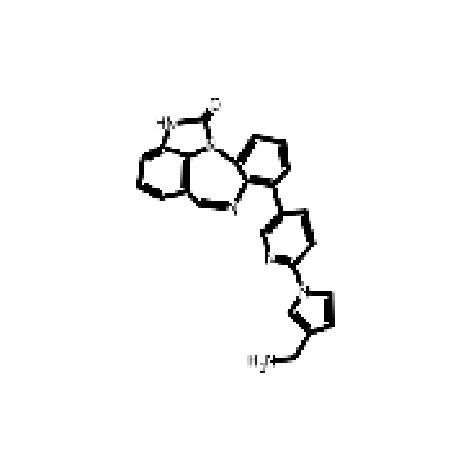 NCc1ccn(-c2ccc(-c3cccc4c3N=Cc3cccc5[nH]c(=O)n-4c35)cn2)c1